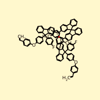 C=Cc1ccc(Oc2ccc(C3(c4ccc(F)cc4)c4ccccc4-c4ccc(N(c5ccc(F)c(C)c5)c5ccc6c(c5)C5(c7ccccc7-6)c6ccccc6-c6ccc(N(c7ccc(F)c(C)c7)c7ccc8c(c7)C(c7ccc(F)cc7)(c7ccc(Oc9ccc(C=C)cc9)cc7)c7ccccc7-8)cc65)cc43)cc2)cc1